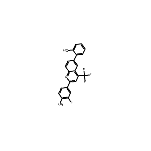 Oc1ccc(-c2cc(C(F)(F)F)c3cc(-c4ccccc4O)ccc3n2)cc1F